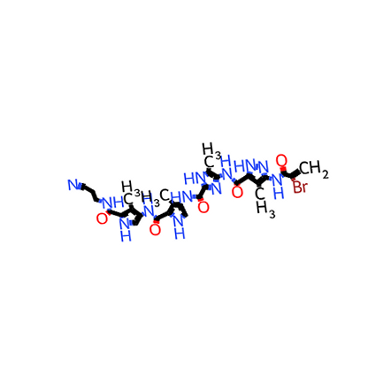 C=C(Br)C(=O)Nc1n[nH]c(C(=O)Nc2nc(C(=O)Nc3c[nH]c(C(=O)Nc4c[nH]c(C(=O)NCCC#N)c4C)c3C)[nH]c2C)c1C